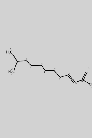 CC(C)CCCCCCC=CC(=O)O